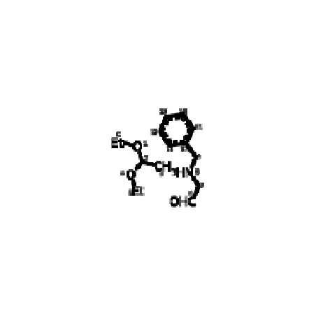 CCOC(C)OCC.O=CCNCc1ccccc1